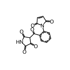 O=C1NC(=O)C(C(=O)c2ccccc2N2C(=O)C=CC2=O)C1=O